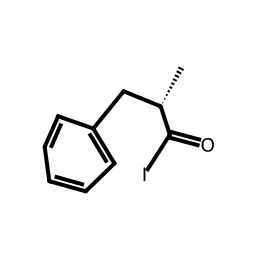 C[C@@H](Cc1ccccc1)C(=O)I